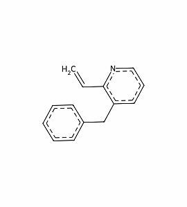 C=Cc1ncccc1Cc1ccccc1